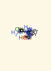 CC(C)c1nnc2c(NCc3ccc(Cl)c(N)c3)nc(N3CCCC3CO)n(C(C)C)c1-2